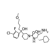 COCCCC[C@@](O)(c1cccc(Cl)c1F)[C@@H]1CCCN(C(=O)N[C@@H](CC2CCCCC2)[C@@H](O)CN)C1